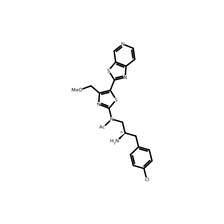 COCc1nc(N(C[C@H](N)Cc2ccc(Cl)cc2)C(C)=O)sc1-c1nc2ccncc2s1